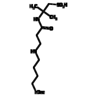 CCCCCCCCCCCCCCNCCC(=O)NC(C)(C)CS(=O)(=O)O